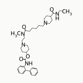 CCNC(=O)C1CCN(CCCCCC(=O)N(C)CCN2CCC(OC(=O)Nc3ccccc3-c3ccccc3)CC2)CC1